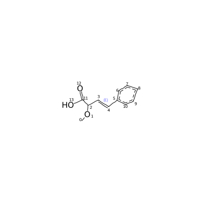 COC(/C=C/c1ccccc1)C(=O)O